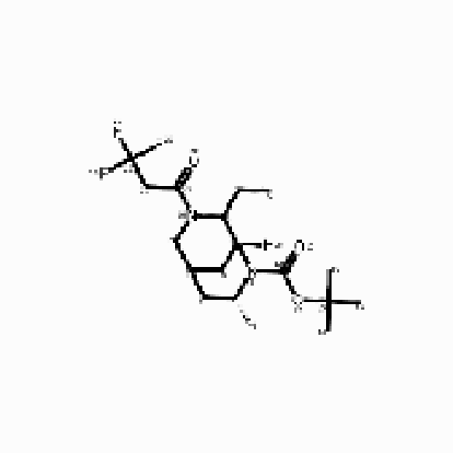 CCC1[C@H]2CC(C[C@@H](C)N2C(=O)OC(C)(C)C)CN1C(=O)CC(F)(F)F